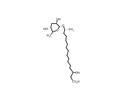 C[C@H](CCCCCCCCCCC[C@@H](O)CC(=O)O)O[C@@H]1O[C@@H](C)[C@H](O)C[C@H]1O